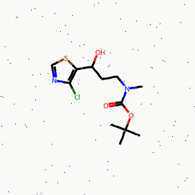 CN(CCC(O)c1scnc1Cl)C(=O)OC(C)(C)C